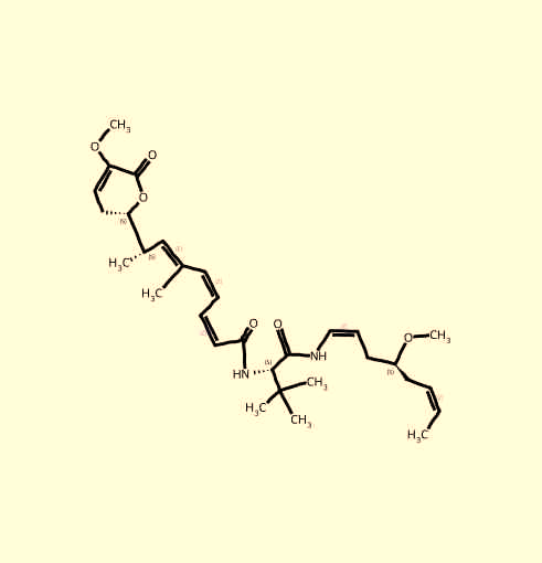 C/C=C\C[C@@H](C/C=C\NC(=O)[C@@H](NC(=O)\C=C/C=C\C(C)=C\[C@H](C)[C@@H]1CC=C(OC)C(=O)O1)C(C)(C)C)OC